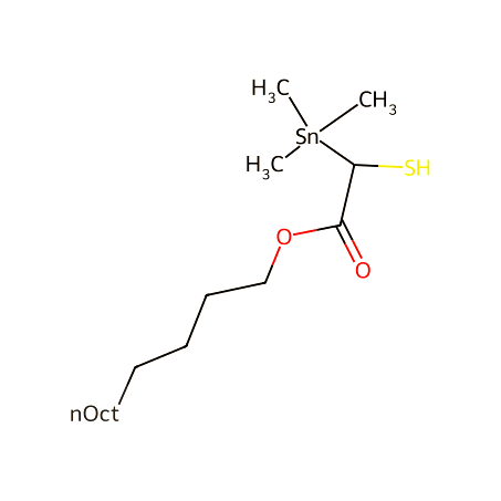 CCCCCCCCCCCCOC(=O)[CH](S)[Sn]([CH3])([CH3])[CH3]